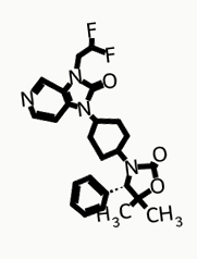 CC1(C)OC(=O)N(C2CCC(n3c(=O)n(CC(F)F)c4cnccc43)CC2)[C@H]1c1ccccc1